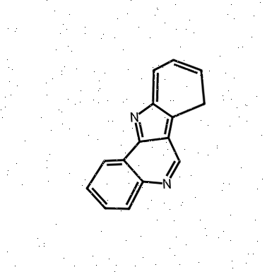 C1=CCC2=c3cnc4ccccc4c3=NC2=C1